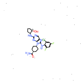 NC(=O)[C@H]1CC[C@@H](n2c(Nc3c(F)cc(F)cc3Cl)nc3cnc(NC4CCC[C@H]4O)nc32)CC1